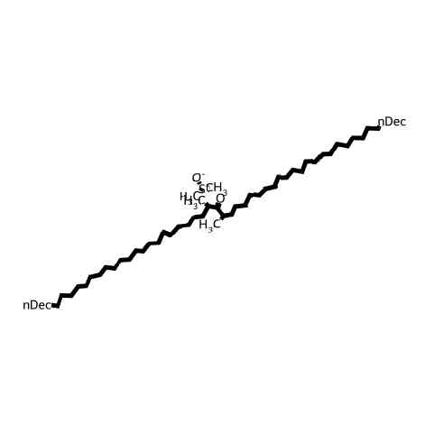 CCCCCCCCCCCCCCCCCCCCCCCCCCCCCCCC(C)C(=O)C(C)CCCCCCCCCCCCCCCCCCCCCCCCCCCCCCC.C[S+](C)[O-]